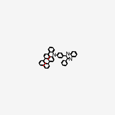 c1ccc(-c2ccc(-c3ccccc3N(c3ccc(-c4ccccc4)cc3)c3ccc(-c4nc5ccccc5nc4-c4ccccc4)cc3)cc2)cc1